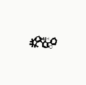 CC1(C)c2ccc3[nH]c4c(ccc5oc6ccccc6c54)c3c2C(C)(C)C1(C)C